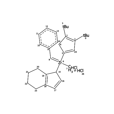 CC(C)(C)C1=C(C(C)(C)C)C[C]([Zr]([CH3])(=[CH]c2ccccc2)[CH]2C=CC3=C2CCCC3)=C1.Cl.Cl